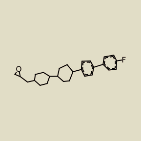 Fc1ccc(-c2ccc(C3CCC(C4CCC(CC5CO5)CC4)CC3)cc2)cc1